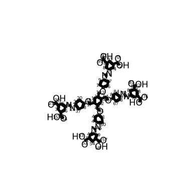 O=C(O)c1cc(N=Nc2ccc(OCc3cc(COc4ccc(N=Nc5cc(C(=O)O)cc(C(=O)O)c5)cc4)c(COc4ccc(N=Nc5cc(C(=O)O)cc(C(=O)O)c5)cc4)cc3COc3ccc(N=Nc4cc(C(=O)O)cc(C(=O)O)c4)cc3)cc2)cc(C(=O)O)c1